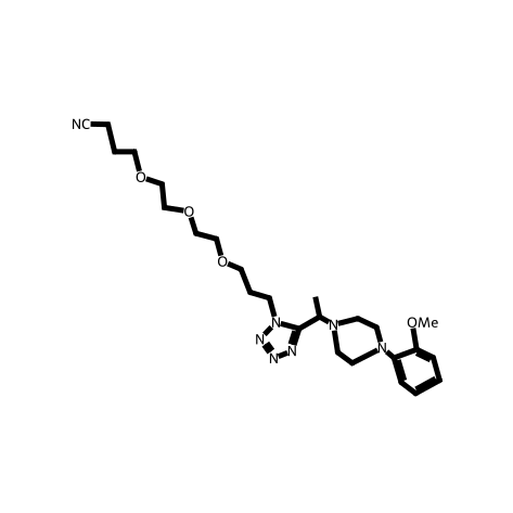 COc1ccccc1N1CCN(C(C)c2nnnn2CCCOCCOCCOCCCC#N)CC1